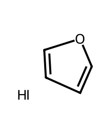 I.c1ccoc1